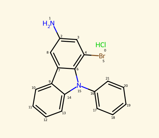 Cl.Nc1cc(Br)c2c(c1)c1ccccc1n2-c1ccccc1